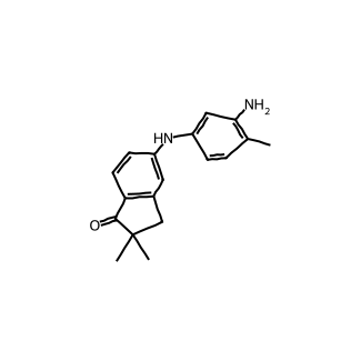 Cc1ccc(Nc2ccc3c(c2)CC(C)(C)C3=O)cc1N